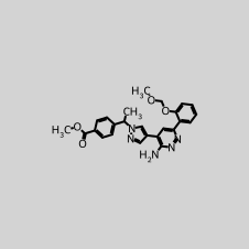 COCOc1ccccc1-c1cc(-c2cnn(C(C)c3ccc(C(=O)OC)cc3)c2)c(N)nn1